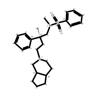 CN(C[C@@](C)(CCN1CCC2CCCC2C1)c1ccccc1)S(=O)(=O)c1ccccc1